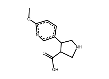 COc1ccc(C2CNCC2C(=O)O)cn1